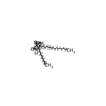 CCCCCCCCCCCCCCCCCC(=O)N1C(CCCCCCCCCCC)NC(=O)CC1C(=O)O